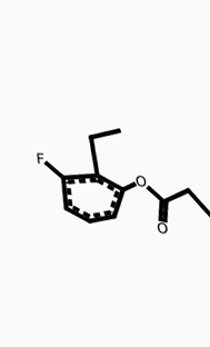 CCC(=O)Oc1cccc(F)c1CC